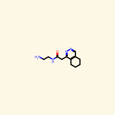 NCCNC(=O)Cc1nncc2c1CCCC2